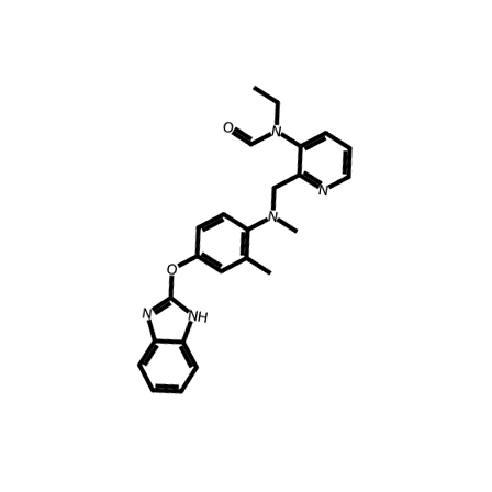 CCN(C=O)c1cccnc1CN(C)c1ccc(Oc2nc3ccccc3[nH]2)cc1C